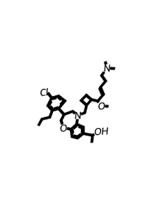 CCCc1cc(Cl)ccc1C1COc2ccc(C(C)O)cc2N(CC2CCC2C(/C=C/CCN(C)C)OC)C1